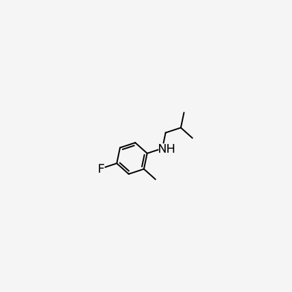 Cc1cc(F)ccc1NCC(C)C